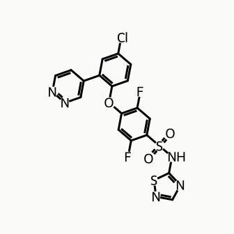 O=S(=O)(Nc1ncns1)c1cc(F)c(Oc2ccc(Cl)cc2-c2ccnnc2)cc1F